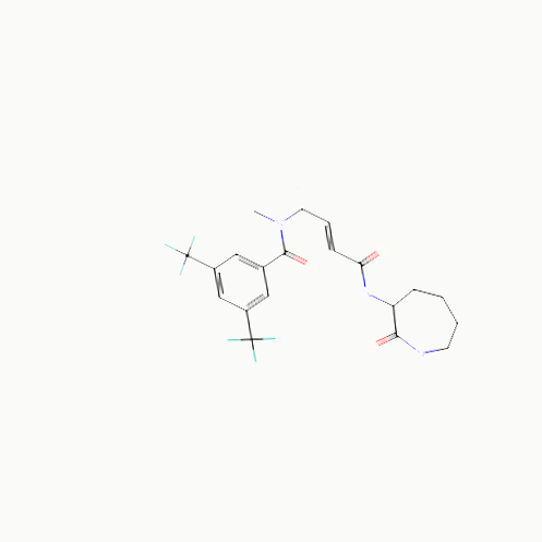 C[C@H](/C=C/C(=O)NC1CCCCNC1=O)N(C)C(=O)c1cc(C(F)(F)F)cc(C(F)(F)F)c1